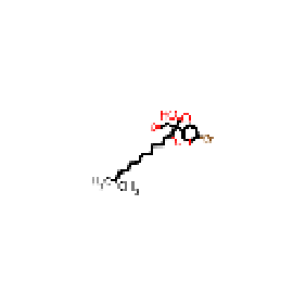 CC(C)CCCCCCCCC[C@@H](O)C(CC=O)(C(=O)O)c1ccc(Br)cc1